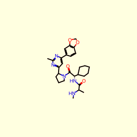 CNC(C)C(=O)N[C@H](C(=O)N1CCCC1c1cc(-c2ccc3c(c2)OCO3)nc(C)n1)C1CCCCC1